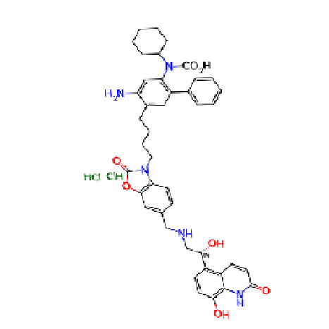 Cl.Cl.Nc1cc(N(C(=O)O)C2CCCCC2)c(-c2ccccc2)cc1CCCCn1c(=O)oc2cc(CNC[C@H](O)c3ccc(O)c4[nH]c(=O)ccc34)ccc21